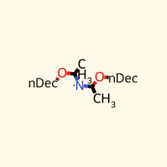 CCCCCCCCCCOC(C)[N]C(C)OCCCCCCCCCC